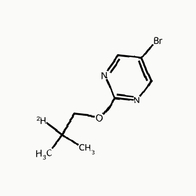 [2H]C(C)(C)COc1ncc(Br)cn1